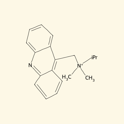 CC(C)[N+](C)(C)Cc1c2ccccc2nc2ccccc12